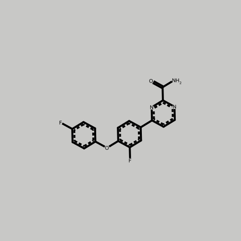 NC(=O)c1nccc(-c2ccc(Oc3ccc(F)cc3)c(F)c2)n1